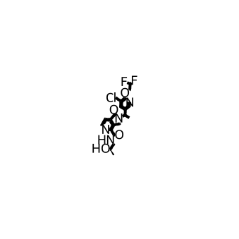 CC(c1cnc(OCC(F)F)c(Cl)c1)N1Cc2c(ccnc2C(=O)NC[C@@H](C)O)C1=O